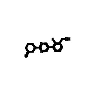 O=C1CCCN(c2ncc(-c3cccc(CO)c3F)cn2)C1